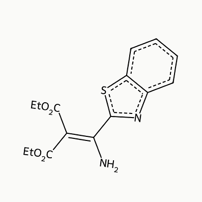 CCOC(=O)C(C(=O)OCC)=C(N)c1nc2ccccc2s1